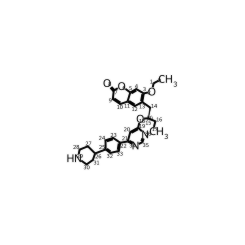 CCOc1cc2oc(=O)ccc2cc1C[C@@H](CC)Oc1cc(-c2ccc(C3CCNCC3)cc2)ncn1